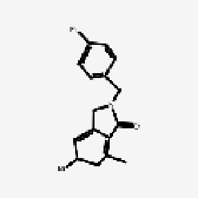 CCc1ccc(CN2CC3=CC(Br)CC(C)=C3C2=O)cc1